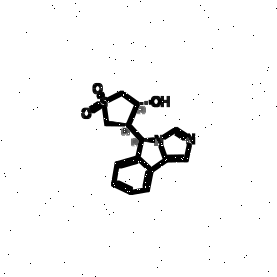 O=S1(=O)C[C@H]([C@@H]2c3ccccc3-c3cncn32)[C@@H](O)C1